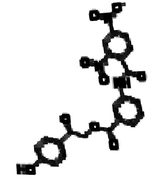 O=C(COC(=O)c1cccc(NC(=O)c2ccc([N+](=O)[O-])cc2[N+](=O)[O-])c1)c1ccc(O)cc1